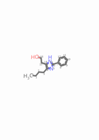 CCCCc1nc(-c2ccccc2)[nH]c1CCO